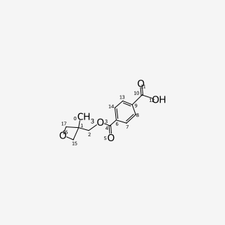 CC1(COC(=O)c2ccc(C(=O)O)cc2)COC1